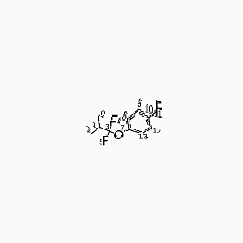 CC(C)C(F)(F)Oc1ccc(F)cc1